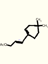 CC(=O)OC/C=C/C1=CCC(C)(C)CC1